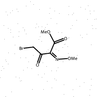 CON=C(C(=O)CBr)C(=O)OC